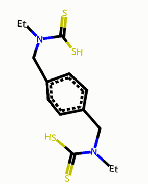 CCN(Cc1ccc(CN(CC)C(=S)S)cc1)C(=S)S